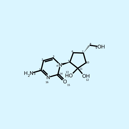 Nc1ccn([C@H]2C[C@H](CO)CC2(O)O)c(=O)n1